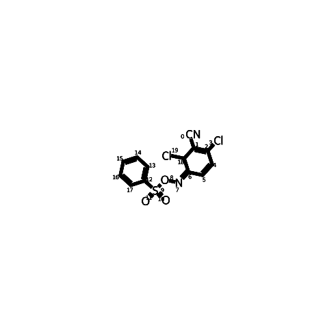 N#CC1=C(Cl)C=CC(=NOS(=O)(=O)c2ccccc2)C1Cl